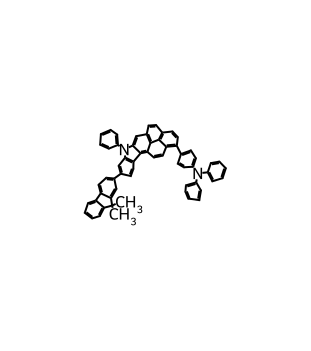 CC1(C)c2ccccc2-c2ccc(-c3ccc4c5c6ccc7c(-c8ccc(N(c9ccccc9)c9ccccc9)cc8)ccc8ccc(cc5n(-c5ccccc5)c4c3)c6c87)cc21